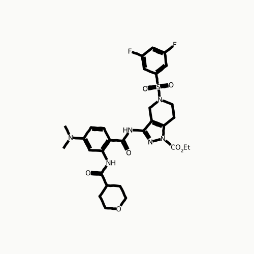 CCOC(=O)n1nc(NC(=O)c2ccc(N(C)C)cc2NC(=O)C2CCOCC2)c2c1CCN(S(=O)(=O)c1cc(F)cc(F)c1)C2